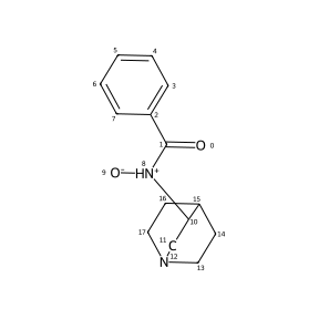 O=C(c1ccccc1)[NH+]([O-])C1CN2CCC1CC2